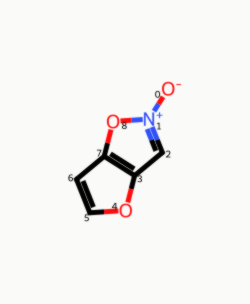 [O-][n+]1cc2occc2o1